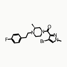 C[C@H]1CN(C(=O)c2nn(C)cc2Br)CCN1CCc1ccc(F)cc1